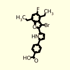 CCc1cc(F)c(CC)c2c(Br)c(-c3ccc(-c4ccc(C(=O)O)cc4)[nH]3)oc12